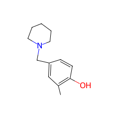 Cc1cc(CN2CCCCC2)ccc1O